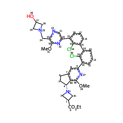 CCOC(=O)C1CN([C@@H]2CCc3cc(-c4cccc(-c5cccc(-c6cnc(CN7CC(O)C7)c(OC)n6)c5Cl)c4Cl)nc(OC)c32)C1